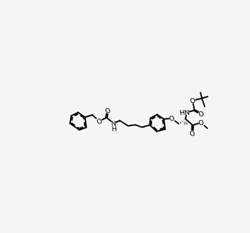 COC(=O)[C@H](COc1ccc(CCCCNC(=O)OCc2ccccc2)cc1)NC(=O)OC(C)(C)C